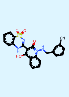 N#Cc1cccc(CNn2c(=O)c(C3=NS(=O)(=O)c4ccccc4N3)c(O)c3ccccc32)c1